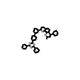 Cc1cc(-c2ccccc2)c2ccc3ccc(-c4cccc(-c5ccc(-c6nc(-c7ccccc7)nc(-c7ccccc7)n6)cc5)c4)nc3c2n1